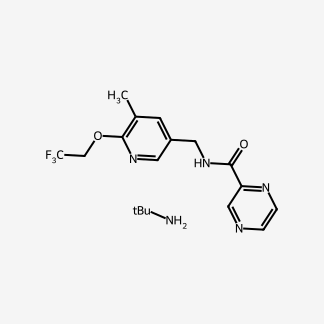 CC(C)(C)N.Cc1cc(CNC(=O)c2cnccn2)cnc1OCC(F)(F)F